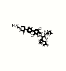 CCN1CC[C@@H](c2ccc(-c3cc(Cl)c4cn(C(C(=O)Nc5nccs5)c5ncn6c5CC(F)C6)nc4c3Cl)cc2)[C@H](F)C1